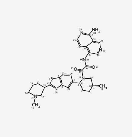 C[C@H]1CC[C@H](c2ccc3sc(C4CCCN(C)C4)nc3c2)N(C(=O)C(=O)Nc2cncc3c(N)nccc23)C1